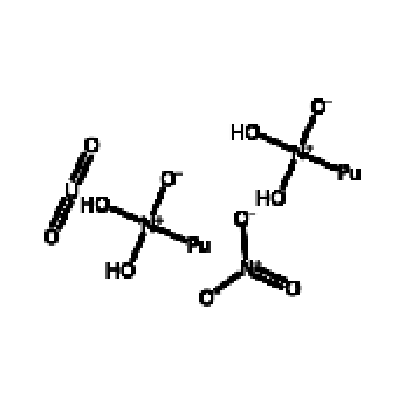 O=[N+]([O-])[O-].[O-][N+](O)(O)[Pu].[O-][N+](O)(O)[Pu].[O]=[U]=[O]